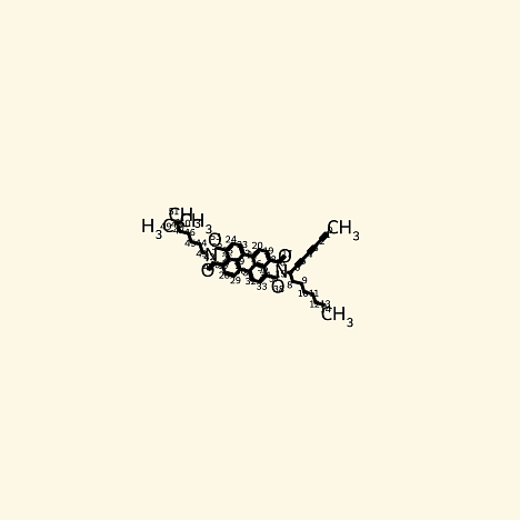 CC#CC#CC#CC(CCCCCCC)N1C(=O)c2ccc3c4ccc5c6c(ccc(c7ccc(c2c37)C1=O)c64)C(=O)N(CCCCCC(C)(C)C)C5=O